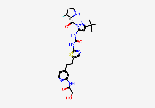 CC(C)(C)c1cc(NC(=O)Nc2ncc(CCc3ccnc(NC(=O)CO)c3)s2)n(C(=O)[C@H]2NCCC2F)n1